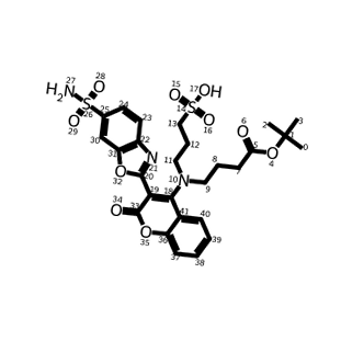 CC(C)(C)OC(=O)CCCN(CCCS(=O)(=O)O)c1c(-c2nc3ccc(S(N)(=O)=O)cc3o2)c(=O)oc2ccccc12